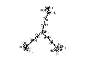 CC(=O)C[C@H]1[C@H](OCCCCC(=O)NCCCNC(=O)CCOCC(N)(COCCC(=O)NCCCNC(=O)CCCCO[C@@H]2O[C@H](CO)[C@H](O)[C@H](O)[C@H]2NC(C)=O)COCCC(=O)NCCCNC(=O)CCCCO[C@@H]2O[C@H](CO)[C@H](O)[C@H](O)[C@H]2NC(C)=O)O[C@H](CO)[C@H](O)[C@@H]1O